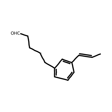 CC=Cc1cccc(C[CH]CCC=O)c1